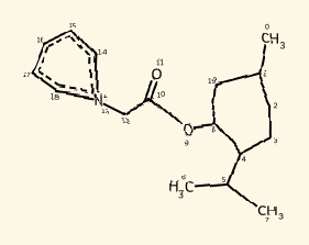 CC1CCC(C(C)C)C(OC(=O)C[n+]2ccccc2)C1